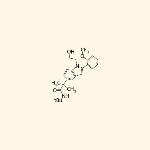 CC(C)(C)NC(=O)C(C)(C)c1ccc2c(c1)cc(-c1ccccc1OC(F)(F)F)n2CCO